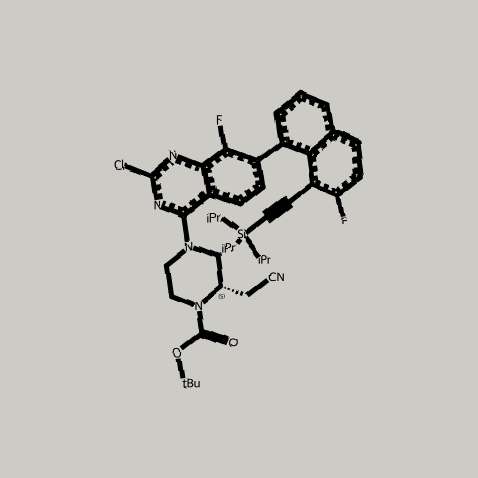 CC(C)[Si](C#Cc1c(F)ccc2cccc(-c3ccc4c(N5CCN(C(=O)OC(C)(C)C)[C@@H](CC#N)C5)nc(Cl)nc4c3F)c12)(C(C)C)C(C)C